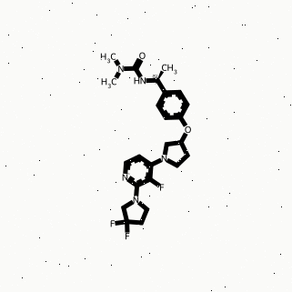 C[C@H](NC(=O)N(C)C)c1ccc(OC2CCN(c3ccnc(N4CCC(F)(F)C4)c3F)C2)cc1